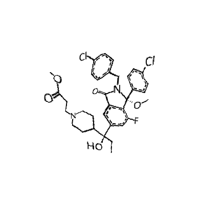 CC[C@@](O)(c1cc(F)c2c(c1)C(=O)N(Cc1ccc(Cl)cc1)[C@@]2(OC)c1ccc(Cl)cc1)C1CCN(CCC(=O)OC)CC1